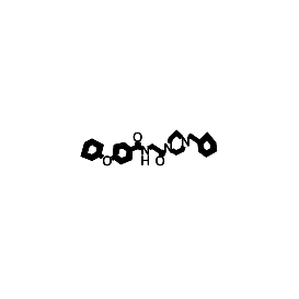 O=C(NCC(=O)N1CCN(Cc2ccccc2)CC1)c1ccc(Oc2ccccc2)cc1